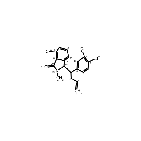 C=CCC(c1ccc(Cl)c(Cl)c1)C1c2cccc(Cl)c2C(=O)N1C